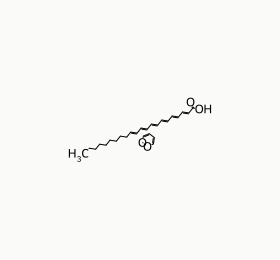 C1=COOC=C1.CCCCCCCCCC=CC=CC=CC=CC=CC=CC(=O)O